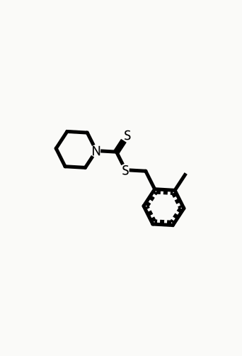 Cc1ccccc1CSC(=S)N1CCCCC1